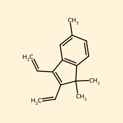 C=CC1=C(C=C)C(C)(C)c2ccc(C)cc21